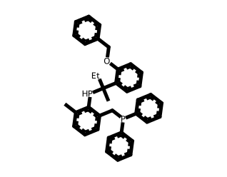 CCC(C)(Pc1c(C)cccc1CP(c1ccccc1)c1ccccc1)c1ccccc1OCc1ccccc1